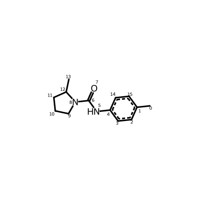 Cc1ccc(NC(=O)N2CCCC2C)cc1